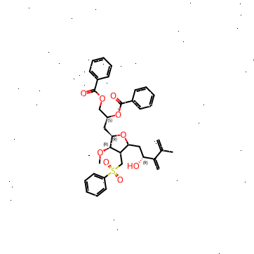 C=C(C)C(=C)[C@H](O)CC1O[C@H](C[C@@H](COC(=O)c2ccccc2)OC(=O)c2ccccc2)[C@H](OC)C1CS(=O)(=O)c1ccccc1